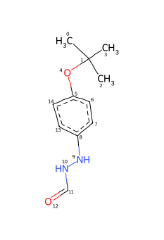 CC(C)(C)Oc1ccc(NNC=O)cc1